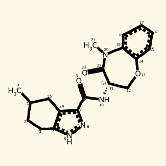 CC1CCc2[nH]nc(C(=O)N[C@H]3COc4ccccc4N(C)C3=O)c2C1